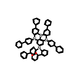 c1ccc(-c2ccc(N(c3cc4c5c(c3)N(c3ccc(-c6ccccc6)cc3)c3ccc(-c6ccccc6)cc3B5c3cc(-c5ccccc5)ccc3N4c3ccc(-c4ccccc4)cc3)c3ccccc3-c3ccccc3)cc2)cc1